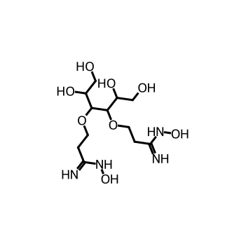 N=C(CCOC(C(O)CO)C(OCCC(=N)NO)C(O)CO)NO